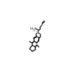 C=CCCCC(N)N1CCC2=CCC(C(C)C3CCCCC3CC)C=C2C1